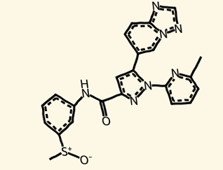 Cc1cccc(-n2nc(C(=O)Nc3cccc([S+](C)[O-])c3)cc2-c2ccc3ncnn3c2)n1